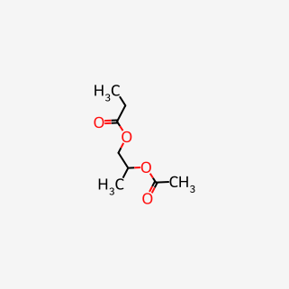 CCC(=O)OCC(C)OC(C)=O